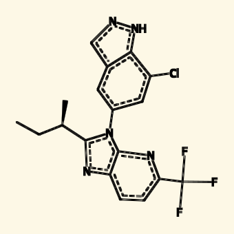 CC[C@@H](C)c1nc2ccc(C(F)(F)F)nc2n1-c1cc(Cl)c2[nH]ncc2c1